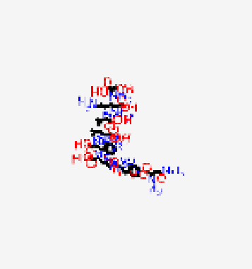 CC(C)C[C@H](N)C(=O)O.CC(C)[C@H](N)C(=O)O.NC(=O)C[C@H](N)C(=O)O.NCCCC[C@H](N)C(=O)O.N[C@@H](CO)C(=O)O.N[C@@H](Cc1c[nH]cn1)C(=O)O.N[C@@H](Cc1ccccc1)C(=O)O.N[C@@H](Cc1ccccc1)C(=O)O